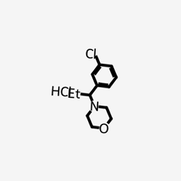 CCC(c1cccc(Cl)c1)N1CCOCC1.Cl